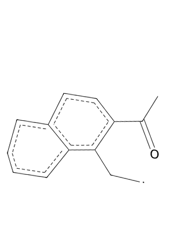 [CH2]Cc1c(C(C)=O)ccc2ccccc12